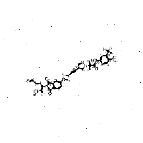 CNC(=O)C(CCC=O)N1C(=O)c2ccc(N3CC(C#Cc4cnn(C(C)(C)C(=O)Nc5ccc([N+](=O)[O-])c(C(F)(F)F)c5)c4)C3)cc2C1=O